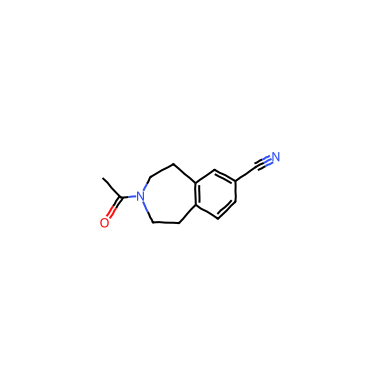 CC(=O)N1CCc2ccc(C#N)cc2CC1